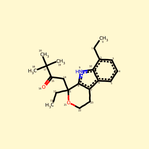 CCc1cccc2c3c([nH]c12)C(CC)(CC(=O)C(C)(C)C)OCC3